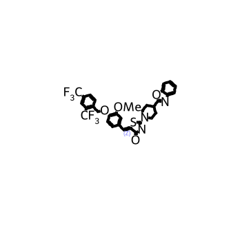 COc1cc(/C=C2\SC(N3CCC(c4nc5ccccc5o4)CC3)=NC2=O)ccc1OCc1ccc(C(F)(F)F)cc1C(F)(F)F